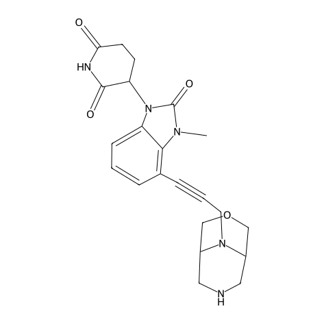 Cn1c(=O)n(C2CCC(=O)NC2=O)c2cccc(C#CCN3C4CNCC3COC4)c21